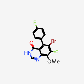 COc1c(F)c(Br)c(-c2ccc(F)cc2)c2c(=O)[nH]cnc12